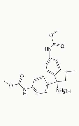 C[CH]CC(N)(c1ccc(NC(=O)OC)cc1)c1ccc(NC(=O)OC)cc1.Cl